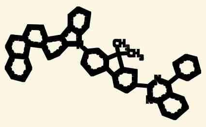 CC1(C)c2cc(-c3nc(-c4ccccc4)c4ccccc4n3)ccc2-c2ccc(-n3c4ccccc4c4c5ccc6ccc7ccccc7c6c5ccc43)cc21